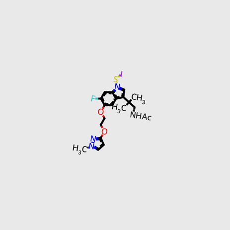 CC(=O)NCC(C)(C)c1cn(SI)c2cc(F)c(OCCOc3ccn(C)n3)cc12